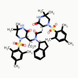 Cc1cc(C)c(S(=O)(=O)N2CC(C)(C)NC(=O)[C@H]2CC(=O)N([C@H](C(=O)O)[C@@H]2C(=O)NC(C)(C)CN2S(=O)(=O)c2c(C)cc(C)cc2C)[C@H]2CCc3ccccc32)c(C)c1